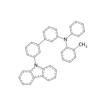 Cc1ccccc1N(c1ccccc1)c1cccc(-c2cccc(-n3c4ccccc4c4ccccc43)c2)c1